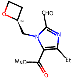 CCc1nc(C=O)n(C[C@@H]2CCO2)c1C(=O)OC